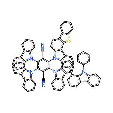 N#Cc1c(-n2c3ccccc3c3ccccc32)c(-n2c3ccccc3c3ccccc32)c(C#N)c(-n2c3cc(-c4cccc5c6ccccc6n(-c6ccccc6)c45)ccc3c3c4sc5ccccc5c4ccc32)c1-n1c2ccccc2c2ccccc21